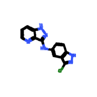 Clc1n[nH]c2ccc(Nc3n[nH]c4cccnc34)cc12